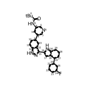 CC(C)(C)C(=O)Nc1cncc(-c2ccc3[nH]nc(-c4cc5c(-c6cccc(F)c6)cccc5[nH]4)c3c2)c1